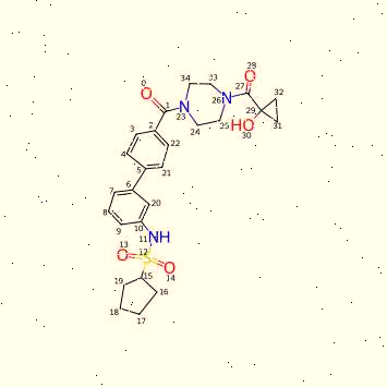 O=C(c1ccc(-c2cccc(NS(=O)(=O)C3CCCC3)c2)cc1)N1CCN(C(=O)C2(O)CC2)CC1